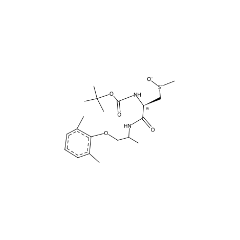 Cc1cccc(C)c1OCC(C)NC(=O)[C@H](C[S+](C)[O-])NC(=O)OC(C)(C)C